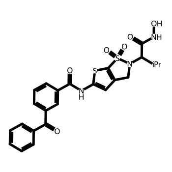 CC(C)C(C(=O)NO)N1Cc2cc(NC(=O)c3cccc(C(=O)c4ccccc4)c3)sc2S1(=O)=O